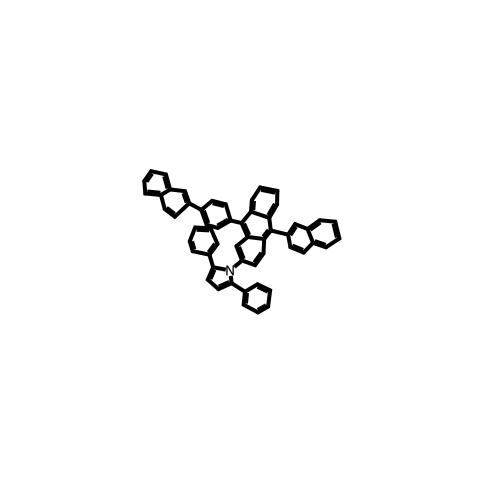 c1ccc(-c2ccc(-c3ccccc3)n2-c2ccc3c(-c4ccc5ccccc5c4)c4ccccc4c(-c4ccc(-c5ccc6ccccc6c5)cc4)c3c2)cc1